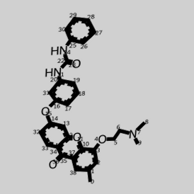 Cc1cc(OCCN(C)C)c2oc3cc(Oc4cccc(NC(=O)Nc5ccccc5)c4)ccc3c(=O)c2c1